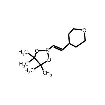 CC1(C)OB(/C=C/C2CCOCC2)OC1(C)C